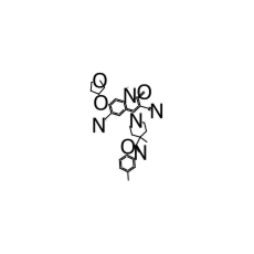 Cc1ccc2oc(C3(C)CCN(c4c(C#N)c(=O)n(C)c5cc(O[C@@H]6CCOC6)c(C#N)cc45)CC3)nc2c1